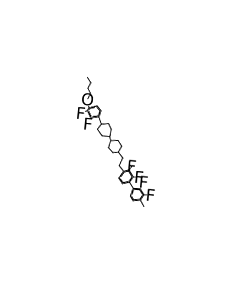 CCCCOc1ccc(C2CCC(C3CCC(CCc4ccc(-c5ccc(C)c(F)c5F)c(F)c4F)CC3)CC2)c(F)c1F